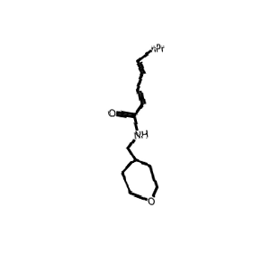 CCC/C=C/C=C/C(=O)NCC1CCOCC1